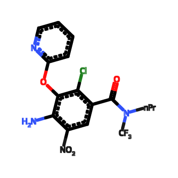 CCCN(C(=O)c1cc([N+](=O)[O-])c(N)c(Oc2ccccn2)c1Cl)C(F)(F)F